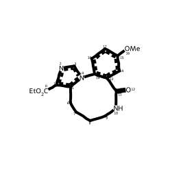 CCOC(=O)c1ncn2c1CCCCNC(=O)c1cc(OC)ccc1-2